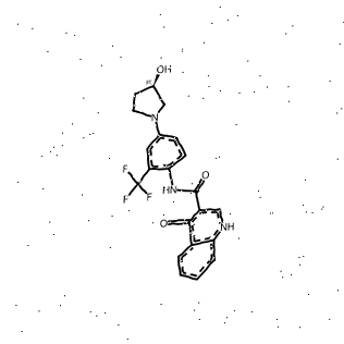 O=C(Nc1ccc(N2CC[C@@H](O)C2)cc1C(F)(F)F)c1c[nH]c2ccccc2c1=O